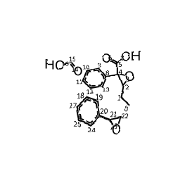 CCC1OC1(C(=O)O)c1ccccc1.O=CO.c1ccc(C2CO2)cc1